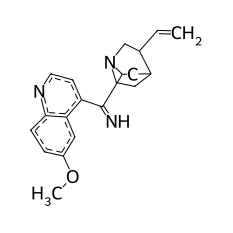 C=CC1CN2CCC1CC2C(=N)c1ccnc2ccc(OC)cc12